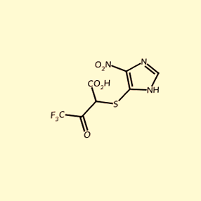 O=C(O)C(Sc1[nH]cnc1[N+](=O)[O-])C(=O)C(F)(F)F